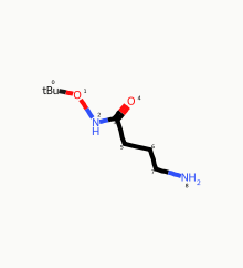 CC(C)(C)ONC(=O)CCCN